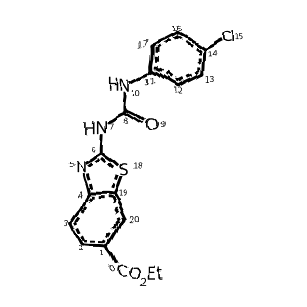 CCOC(=O)c1ccc2nc(NC(=O)Nc3ccc(Cl)cc3)sc2c1